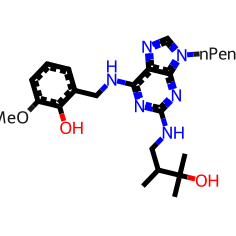 CCCCCn1cnc2c(NCc3cccc(OC)c3O)nc(NCC(C)C(C)(C)O)nc21